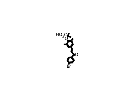 Cc1cc(/C=C/C(=O)c2ccc(Br)cc2)cc(C)c1OC(C)(C)C(=O)O